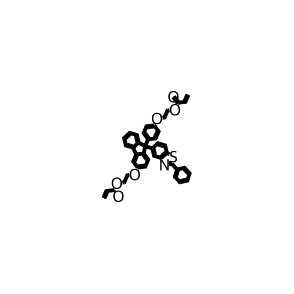 C=CC(=O)OCCOc1ccc(C2(c3ccc4sc(-c5ccccc5)nc4c3)c3ccccc3-c3cc(OCCOC(=O)C=C)ccc32)cc1